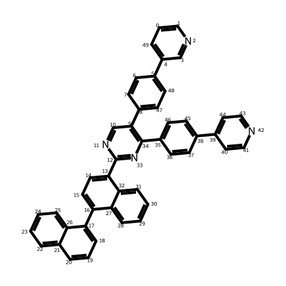 c1cncc(-c2ccc(-c3cnc(-c4ccc(-c5cccc6ccccc56)c5ccccc45)nc3-c3ccc(-c4ccncc4)cc3)cc2)c1